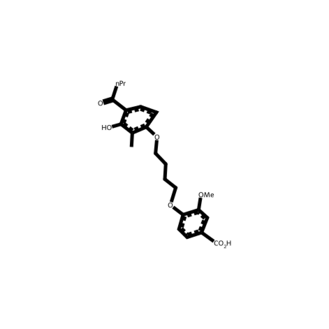 CCCC(=O)c1ccc(OCCCCOc2ccc(C(=O)O)cc2OC)c(C)c1O